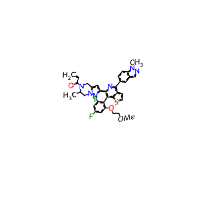 C=CC(=O)N1Cc2cc(-c3nc(-c4ccc5c(cnn5C)c4)c4ccsc4c3-c3c(F)cc(F)cc3OCCOC)nn2CC1C